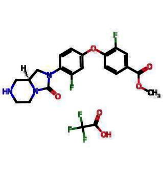 COC(=O)c1ccc(Oc2ccc(N3C[C@@H]4CNCCN4C3=O)c(F)c2)c(F)c1.O=C(O)C(F)(F)F